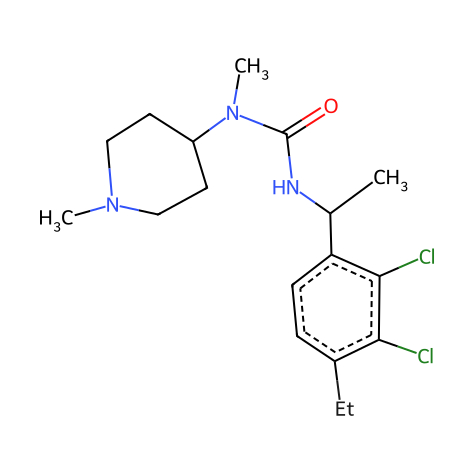 CCc1ccc(C(C)NC(=O)N(C)C2CCN(C)CC2)c(Cl)c1Cl